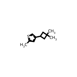 Cc1cc(C2CC(C)(C)C2)cs1